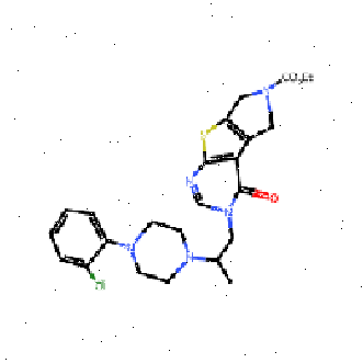 CCOC(=O)N1Cc2sc3ncn(CC(C)N4CCN(c5ccccc5Cl)CC4)c(=O)c3c2C1